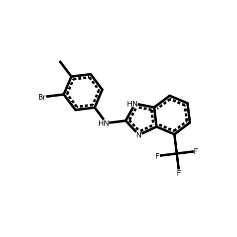 Cc1ccc(Nc2nc3c(C(F)(F)F)cccc3[nH]2)cc1Br